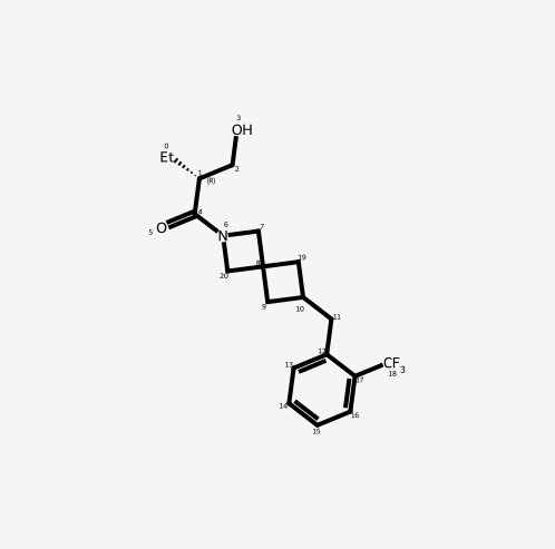 CC[C@H](CO)C(=O)N1CC2(CC(Cc3ccccc3C(F)(F)F)C2)C1